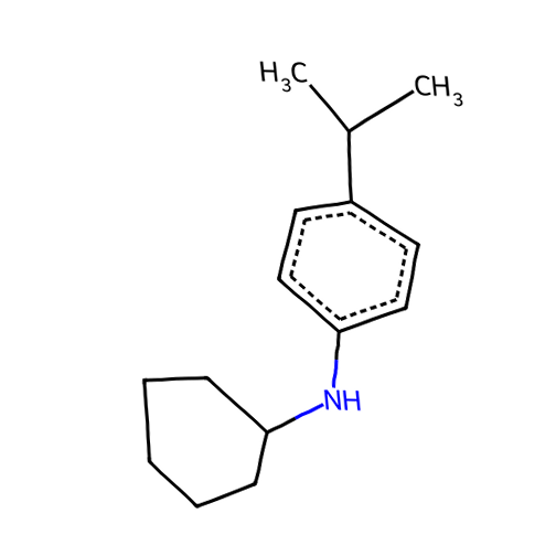 CC(C)c1ccc(NC2CCCCC2)cc1